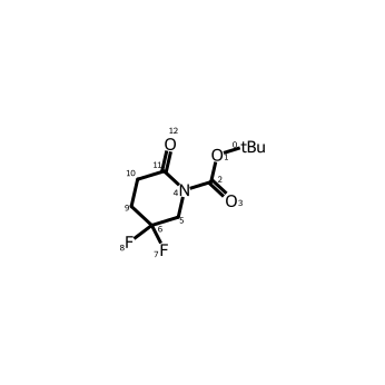 CC(C)(C)OC(=O)N1CC(F)(F)CCC1=O